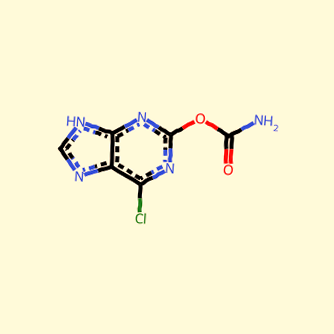 NC(=O)Oc1nc(Cl)c2nc[nH]c2n1